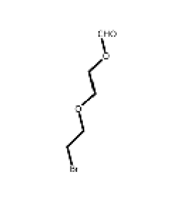 O=COCCOCCBr